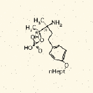 CCCCCCCOc1ccc(CC[C@](C)(N)[C@@H](C)OP(=O)(O)O)cc1